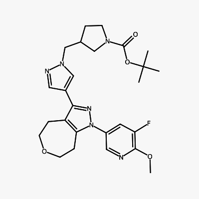 COc1ncc(-n2nc(-c3cnn(CC4CCN(C(=O)OC(C)(C)C)C4)c3)c3c2CCOCC3)cc1F